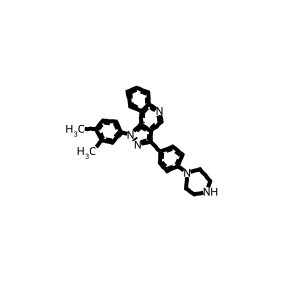 Cc1ccc(-n2nc(-c3ccc(N4CCNCC4)cc3)c3cnc4ccccc4c32)cc1C